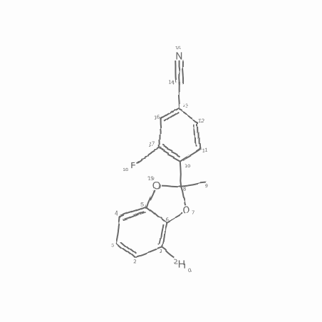 [2H]c1cccc2c1OC(C)(c1ccc(C#N)cc1F)O2